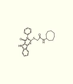 O=C(CSc1nc2c([nH]c3ccccc32)c(=O)n1-c1ccccc1)NC1CCCCCCC1